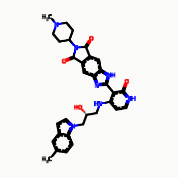 Cc1ccc2c(ccn2C[C@H](O)CNc2cc[nH]c(=O)c2-c2nc3cc4c(cc3[nH]2)C(=O)N(C2CCN(C)CC2)C4=O)c1